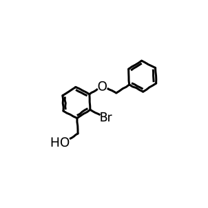 OCc1cccc(OCc2ccccc2)c1Br